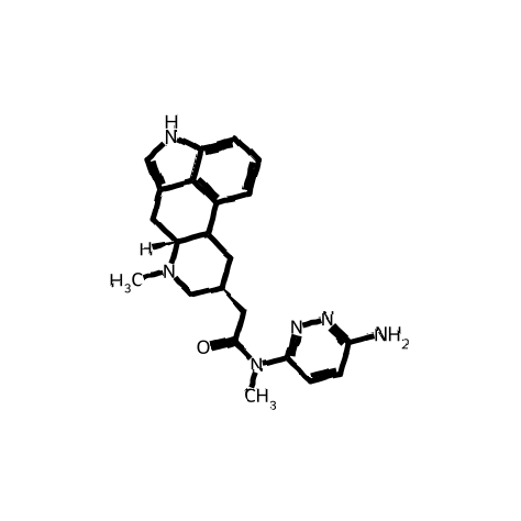 CN(C(=O)C[C@@H]1CC2c3cccc4[nH]cc(c34)C[C@H]2N(C)C1)c1ccc(N)nn1